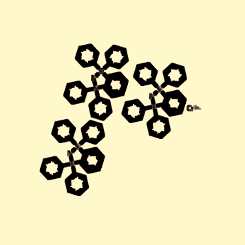 [Cr+3].c1ccc([Si]([N-][Si](c2ccccc2)(c2ccccc2)c2ccccc2)(c2ccccc2)c2ccccc2)cc1.c1ccc([Si]([N-][Si](c2ccccc2)(c2ccccc2)c2ccccc2)(c2ccccc2)c2ccccc2)cc1.c1ccc([Si]([N-][Si](c2ccccc2)(c2ccccc2)c2ccccc2)(c2ccccc2)c2ccccc2)cc1